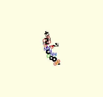 CCS(=O)(=O)c1cc(F)c2c(c1)CCC2Nc1nc2c(cc1Cl)nc(O[C@@H]1CO[C@H]3[C@@H]1OC[C@H]3O[Si](C)(C)C(C)(C)C)n2COCC[Si](C)(C)C